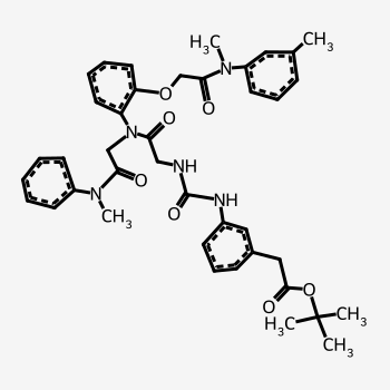 Cc1cccc(N(C)C(=O)COc2ccccc2N(CC(=O)N(C)c2ccccc2)C(=O)CNC(=O)Nc2cccc(CC(=O)OC(C)(C)C)c2)c1